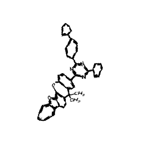 CC1(C)c2cc(-c3nc(-c4ccccc4)nc(-c4ccc(-c5ccccc5)cc4)n3)ccc2Oc2c1ccc1c2oc2ccccc21